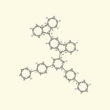 c1ccc(-c2ccc(-c3cc(-c4ccc(-c5ccccc5)cc4)nc(-n4c5ccccc5c5cc(-n6c7ccccc7c7ccccc76)ccc54)n3)cc2)cc1